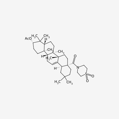 CC(=O)O[C@H]1CC[C@]2(C)[C@H]3CC=C4[C@@H]5CC(C)(C)CC[C@]5(C(=O)N5CCS(=O)(=O)CC5)CC[C@@]4(C)[C@]3(C)CC[C@H]2C1(C)C